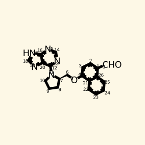 O=Cc1ccc(OC[C@H]2CCCN2c2ncnc3[nH]cnc23)c2ccccc12